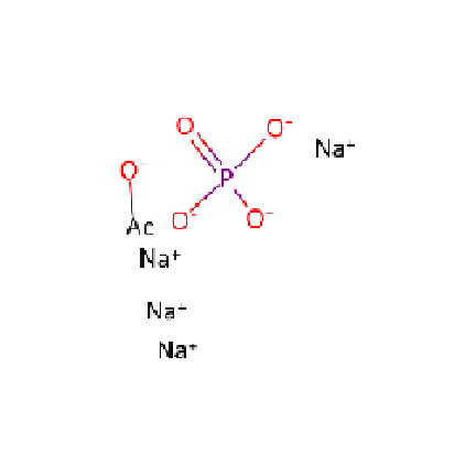 CC(=O)[O-].O=P([O-])([O-])[O-].[Na+].[Na+].[Na+].[Na+]